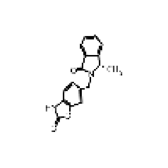 C[C@H]1c2ccccc2C(=O)N1Cc1ccc2[nH]c(=O)oc2c1